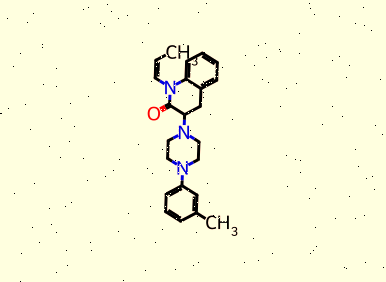 C/C=C\N1C(=O)C(N2CCN(c3cccc(C)c3)CC2)Cc2ccccc21